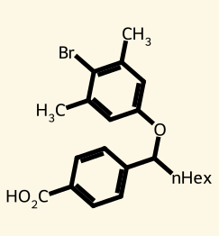 CCCCCCC(Oc1cc(C)c(Br)c(C)c1)c1ccc(C(=O)O)cc1